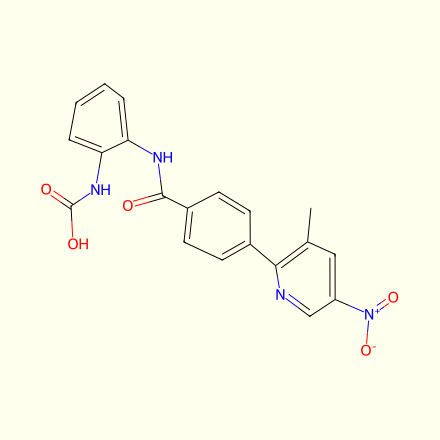 Cc1cc([N+](=O)[O-])cnc1-c1ccc(C(=O)Nc2ccccc2NC(=O)O)cc1